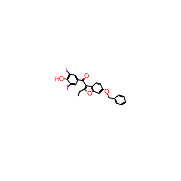 CCc1oc2cc(OCc3ccccc3)ccc2c1C(=O)c1cc(I)c(O)c(I)c1